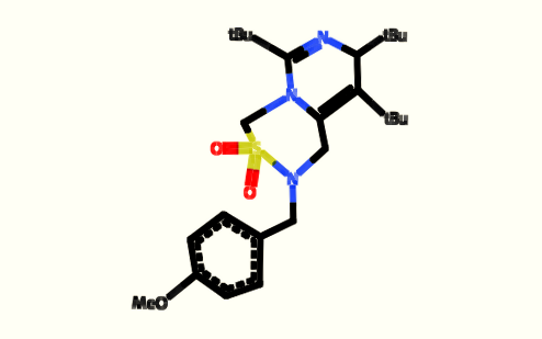 COc1ccc(CN2CC3=C(C(C)(C)C)C(C(C)(C)C)N=C(C(C)(C)C)N3CS2(=O)=O)cc1